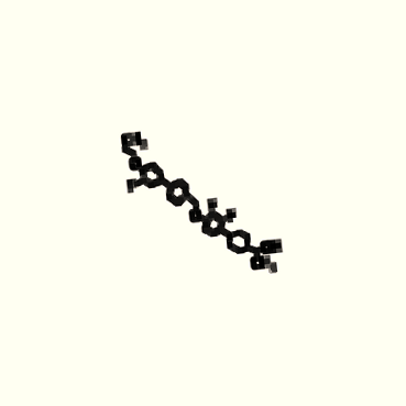 C=CCOc1ccc(-c2ccc(COc3ccc(C4CCC(C(C)O)CC4)c(F)c3F)cc2)cc1F